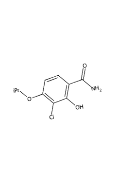 CC(C)Oc1ccc(C(N)=O)c(O)c1Cl